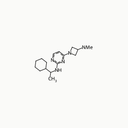 CNC1CN(c2ccnc(NC(C)C3CCCCC3)n2)C1